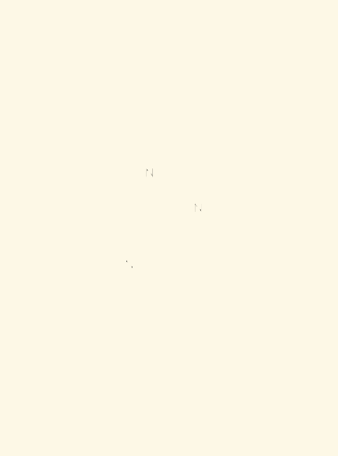 c1nc2c(s1)NCNC2